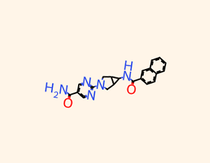 NC(=O)c1cnc(N2CC3C(C2)C3NC(=O)c2ccc3ccccc3c2)nc1